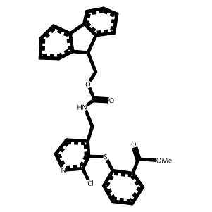 COC(=O)c1ccccc1Sc1c(CNC(=O)OCC2c3ccccc3-c3ccccc32)ccnc1Cl